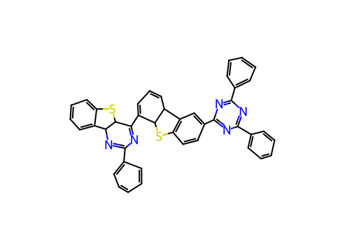 C1=CC2c3cc(-c4nc(-c5ccccc5)nc(-c5ccccc5)n4)ccc3SC2C(C2=NC(c3ccccc3)=NC3c4ccccc4SC23)=C1